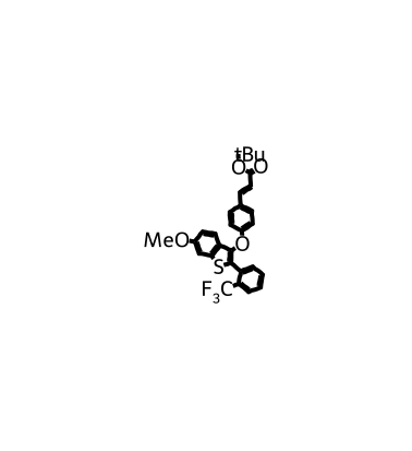 COc1ccc2c(Oc3ccc(C=CC(=O)OC(C)(C)C)cc3)c(-c3ccccc3C(F)(F)F)sc2c1